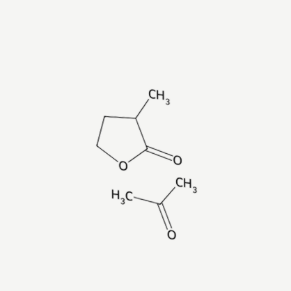 CC(C)=O.CC1CCOC1=O